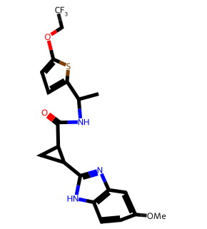 COc1ccc2[nH]c(C3CC3C(=O)NC(C)c3ccc(OCC(F)(F)F)s3)nc2c1